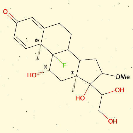 COC1CC2C3CCC4=CC(=O)C=C[C@]4(C)C3(F)[C@@H](O)C[C@]2(C)C1(O)C(O)CO